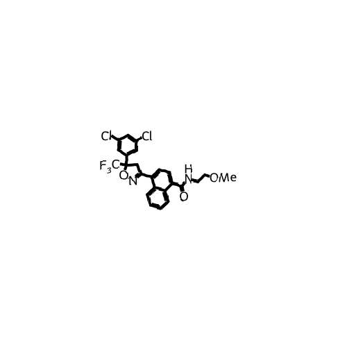 COCCNC(=O)c1ccc(C2=NOC(c3cc(Cl)cc(Cl)c3)(C(F)(F)F)C2)c2ccccc12